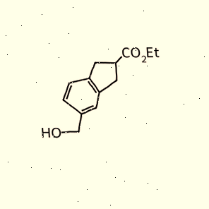 CCOC(=O)C1Cc2ccc(CO)cc2C1